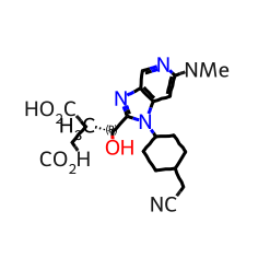 CNc1cc2c(cn1)nc([C@@H](C)O)n2C1CCC(CC#N)CC1.O=C(O)CCC(=O)O